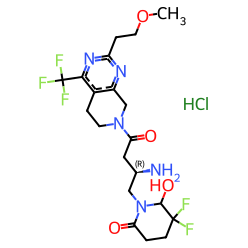 COCCc1nc2c(c(C(F)(F)F)n1)CCN(C(=O)C[C@@H](N)CN1C(=O)CCC(F)(F)C1O)C2.Cl